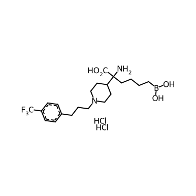 Cl.Cl.NC(CCCCB(O)O)(C(=O)O)C1CCN(CCCc2ccc(C(F)(F)F)cc2)CC1